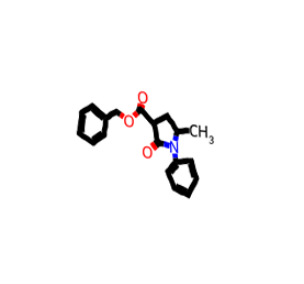 CC1CC(C(=O)OCc2ccccc2)C(=O)N1c1ccccc1